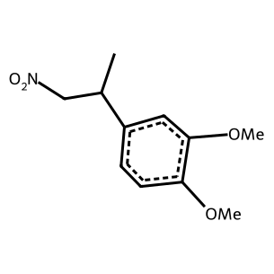 COc1ccc(C(C)C[N+](=O)[O-])cc1OC